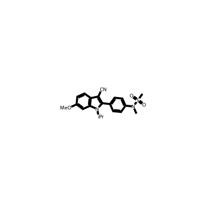 COc1ccc2c(C#N)c(-c3ccc(N(C)S(C)(=O)=O)cc3)n(C(C)C)c2c1